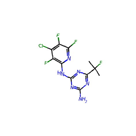 CC(C)(F)c1nc(N)nc(Nc2nc(F)c(F)c(Cl)c2F)n1